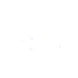 CCCCCCN(C(=O)c1ccco1)S(=O)(=O)O